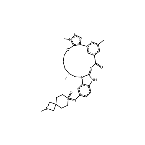 Cc1cc2cc(n1)-c1cnn(C)c1OCCC[C@@H](C)CN1/C(=N/C2=O)Nc2ccc(N=S3(=O)CCC4(CC3)CN(C)C4)cc21